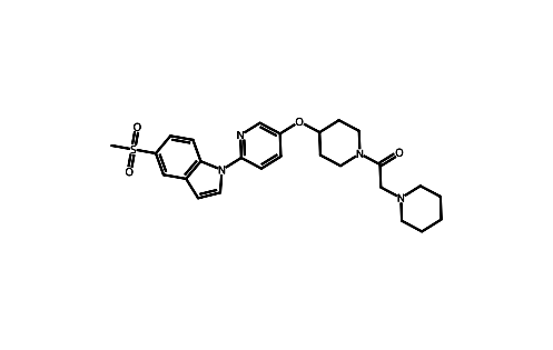 CS(=O)(=O)c1ccc2c(ccn2-c2ccc(OC3CCN(C(=O)CN4CCCCC4)CC3)cn2)c1